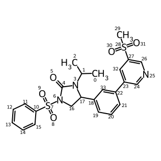 CC(C)N1C(=O)N(S(=O)(=O)c2ccccc2)CC1c1cccc(-c2cncc(S(C)(=O)=O)c2)c1